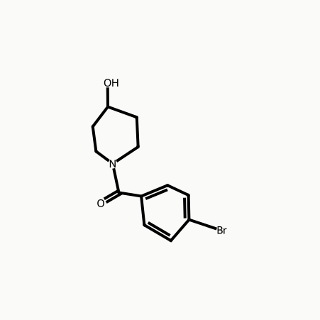 O=C(c1ccc(Br)cc1)N1CCC(O)CC1